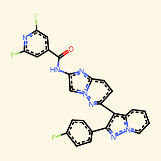 O=C(Nc1cn2nc(-c3c(-c4ccc(F)cc4)nn4ccccc34)ccc2n1)c1cc(F)nc(F)c1